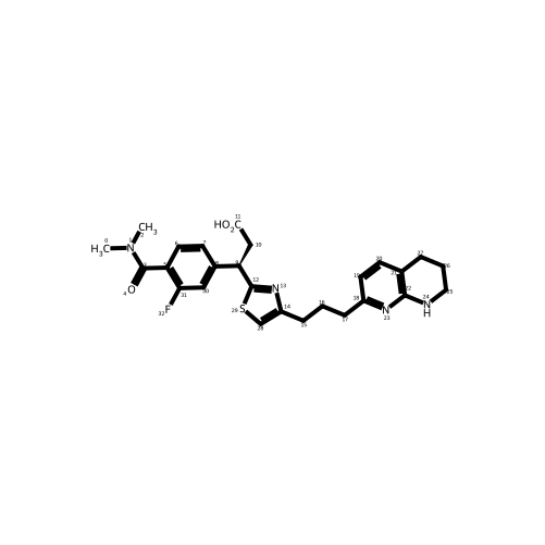 CN(C)C(=O)c1ccc([C@@H](CC(=O)O)c2nc(CCCc3ccc4c(n3)NCCC4)cs2)cc1F